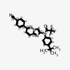 CC(C)(C)c1ccc(N(C(=O)C(F)(F)F)c2cn3nc(-c4ccc(C#N)cc4)ccc3n2)cc1